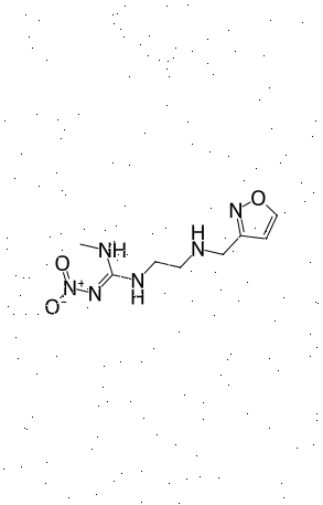 CN/C(=N\[N+](=O)[O-])NCCNCc1ccon1